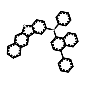 c1ccc(-c2ccc(N(c3ccccc3)c3ccc4oc5cc6ccccc6cc5c4c3)c3ccccc23)cc1